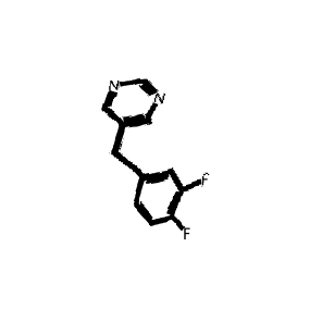 Fc1ccc([CH]c2cncnc2)cc1F